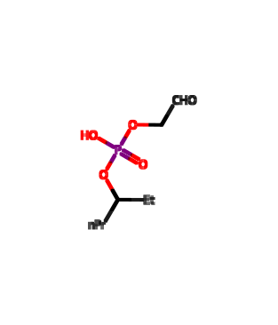 CCCC(CC)OP(=O)(O)OCC=O